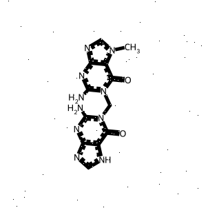 Cn1cnc2nc(N)n(Cn3c(N)nc4nc[nH]c4c3=O)c(=O)c21